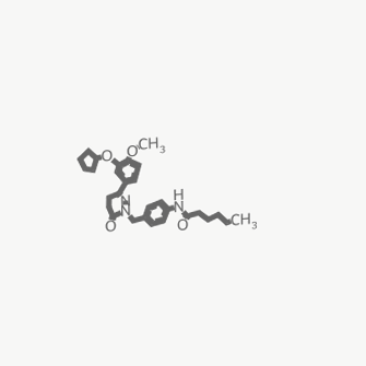 CCCCCC(=O)Nc1ccc(CN2N=C(c3ccc(OC)c(OC4CCCC4)c3)CCC2=O)cc1